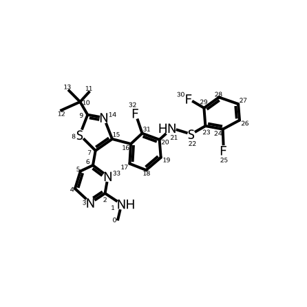 CNc1nccc(-c2sc(C(C)(C)C)nc2-c2cccc(NSc3c(F)cccc3F)c2F)n1